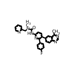 Cc1ncnc2ccc(-c3ccc(NC(=O)N(C)Cc4ccccn4)nc3-c3ccc(F)cc3)cc12